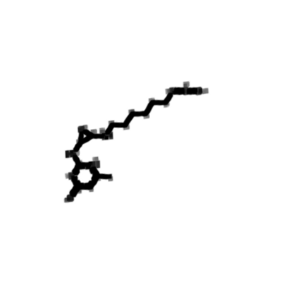 Cc1cc(=O)nc(NC2OC2NCCCCCCN=C=O)[nH]1